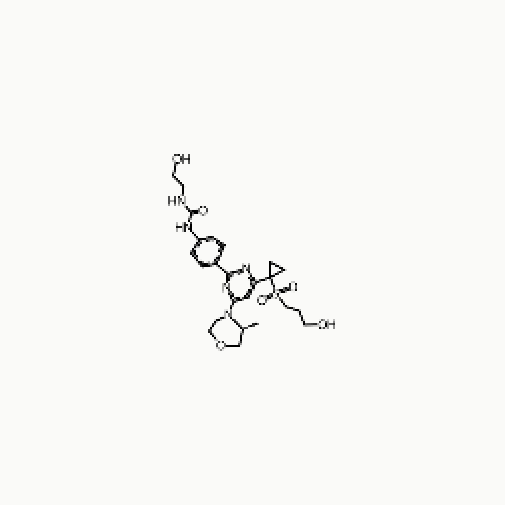 C[C@H]1COCCN1c1cc(C2(S(=O)(=O)CCCO)CC2)nc(-c2ccc(NC(=O)NCCO)cc2)n1